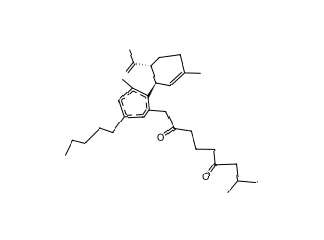 C=C(C)[C@@H]1CCC(C)=C[C@H]1c1c(C)cc(CCCCC)cc1CC(=O)CCCC(=O)CC(C)C